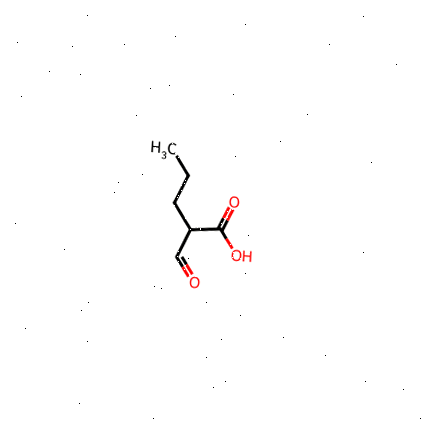 CCCC(C=O)C(=O)O